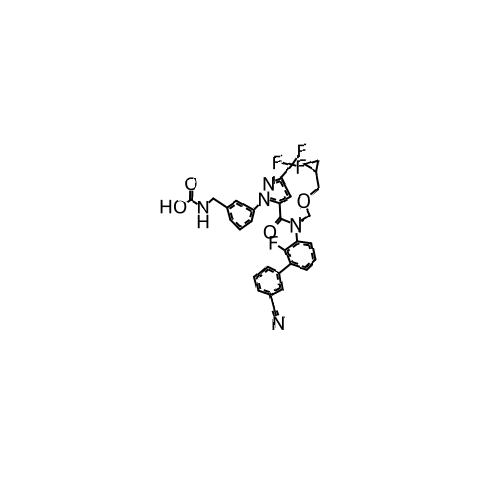 N#Cc1cccc(-c2cccc(N(COCC3CC3)C(=O)c3cc(C(F)(F)F)nn3-c3cccc(CNC(=O)O)c3)c2F)c1